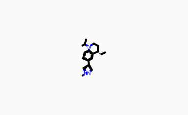 CC[C@H]1CCN(C(C)C)c2ccc(-c3cnn(C)c3)cc21